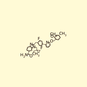 CCC1(Cn2c(Cc3cc(F)c(-c4cccc(OCc5ccc(C)cc5OC)n4)cc3F)nc3ccc(C(N)=O)cc32)CC1